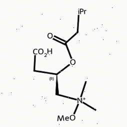 CO[N+](C)(C)C[C@@H](CC(=O)O)OC(=O)CC(C)C